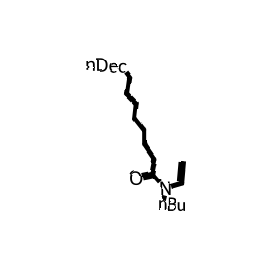 C=CN(CCCC)C(=O)CCCCCCCCCCCCCCCCC